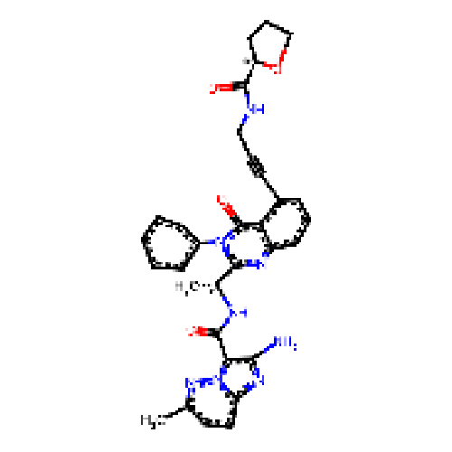 Cc1ccc2nc(N)c(C(=O)N[C@H](C)c3nc4cccc(C#CCNC(=O)[C@H]5CCCO5)c4c(=O)n3-c3ccccc3)n2n1